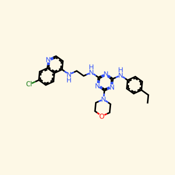 CCc1ccc(Nc2nc(NCCNc3ccnc4cc(Cl)ccc34)nc(N3CCOCC3)n2)cc1